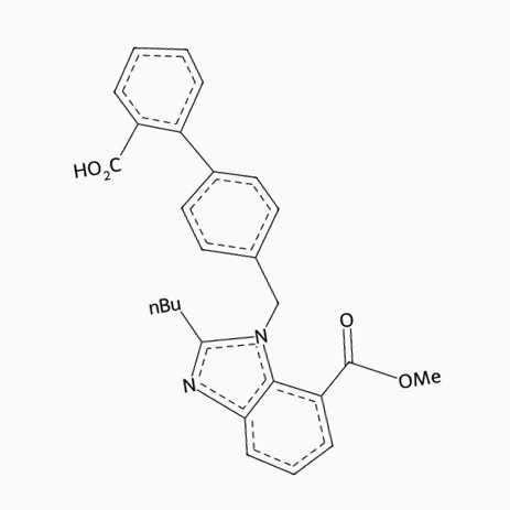 CCCCc1nc2cccc(C(=O)OC)c2n1Cc1ccc(-c2ccccc2C(=O)O)cc1